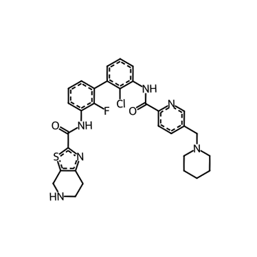 O=C(Nc1cccc(-c2cccc(NC(=O)c3nc4c(s3)CNCC4)c2F)c1Cl)c1ccc(CN2CCCCC2)cn1